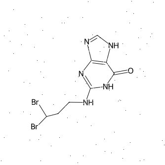 O=c1[nH]c(NCCC(Br)Br)nc2nc[nH]c12